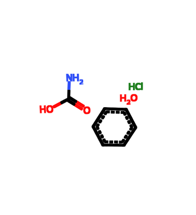 Cl.NC(=O)O.O.c1ccccc1